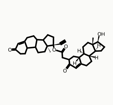 C#C[C@]1(OC(=O)CC2C[C@H]3C(=CC2=O)CC[C@@H]2[C@@H]3CC[C@]3(C)[C@@H](O)CC[C@@H]23)CCC2C3CCC4=CC(=O)CCC4C3CC[C@@]21C